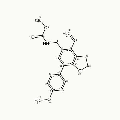 C=Cc1c(CNC(=O)OC(C)(C)C)cc(-c2ccc(OC(F)(F)F)cc2)c2c1CCO2